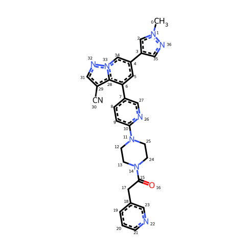 Cn1cc(-c2cc(-c3ccc(N4CCN(C(=O)Cc5cccnc5)CC4)nc3)c3c(C#N)cnn3c2)cn1